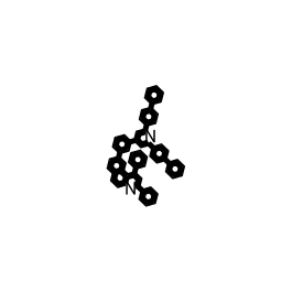 c1ccc(-c2ccc(-c3cc(-c4cccc(-c5ccc6ccc7nc(-c8ccccc8)cc(-c8ccccc8)c7c6c5)c4)cc(-c4ccc(-c5ccccc5)cc4)n3)cc2)cc1